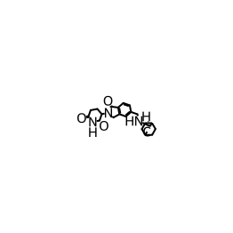 O=C1CCC(N2Cc3cc(CN[C@@H]4CC5CCC4CC5)ccc3C2=O)C(=O)N1